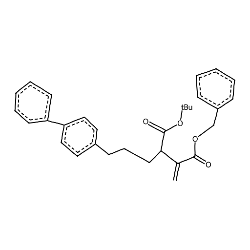 C=C(C(=O)OCc1ccccc1)C(CCCc1ccc(-c2ccccc2)cc1)C(=O)OC(C)(C)C